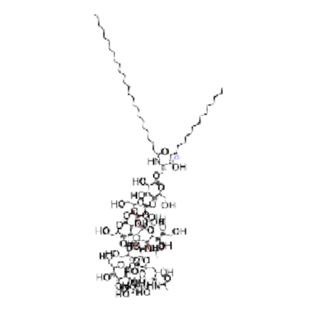 CCCCCCCCCCCCC/C=C/[C@@H](O)[C@H](CO[C@@H]1OC(CO)[C@@H](O[C@@H]2OC(CO)[C@H](O[C@@H]3OC(CO)[C@H](O)[C@H](O[C@@H]4OC(CO)[C@H](O[C@@H]5OC(CO)[C@H](O)[C@H](O)C5NC(C)=O)[C@H](O[C@]5(C(=O)O)CC(O)[C@@H](NC(C)=O)C([C@H](O)[C@H](O)CO)O5)C4O)C3NC(C)=O)[C@H](O[C@]3(C(=O)O)CC(O)[C@@H](NC(C)=O)C([C@H](O)[C@H](O)CO)O3)C2O)[C@H](O)C1O)NC(=O)CCCCCCCCCCCCCCCCCCCCCCCCC